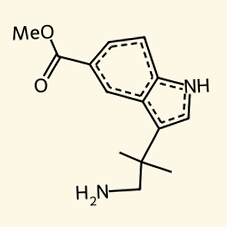 COC(=O)c1ccc2[nH]cc(C(C)(C)CN)c2c1